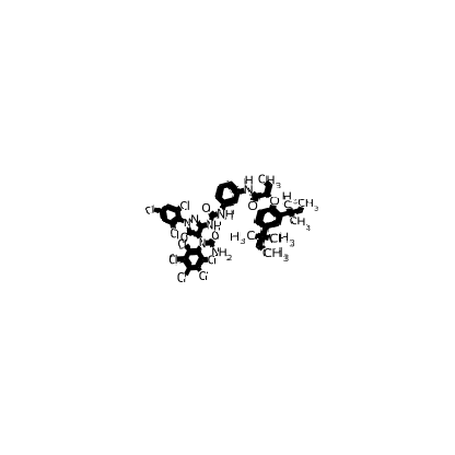 CCC(Oc1ccc(C(C)(C)CC)cc1C(C)(C)CC)C(=O)Nc1cccc(NC(=O)NC2=NN(c3c(Cl)cc(Cl)cc3Cl)C(=O)C2N(C(N)=O)c2c(Cl)c(Cl)c(Cl)c(Cl)c2Cl)c1